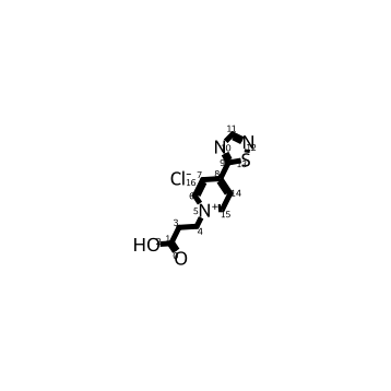 O=C(O)CC[n+]1ccc(-c2ncns2)cc1.[Cl-]